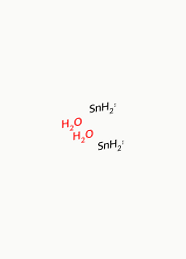 O.O.[SnH2].[SnH2]